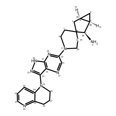 N[C@@H]1[C@@H]2C[C@@H]2CC12CCN(c1cnc3c(N4CCCc5ncccc54)n[nH]c3n1)CC2